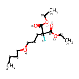 CCCCOCCCC(F)(C(=O)OCC)C(=O)OCC